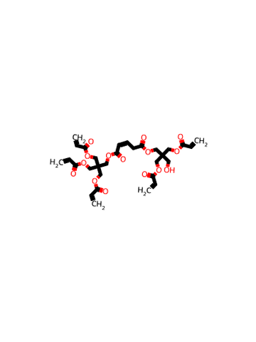 C=CC(=O)OCC(COC(=O)C=C)(COC(=O)C=C)COC(=O)/C=C\CC(=O)OCC(CO)(COC(=O)C=C)COC(=O)C=C